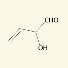 C=CC(O)[C]=O